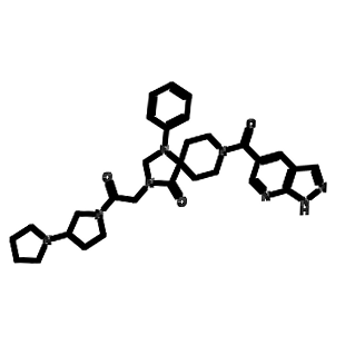 O=C(CN1CN(c2ccccc2)C2(CCN(C(=O)c3cnc4[nH]ncc4c3)CC2)C1=O)N1CCC(N2CCCC2)C1